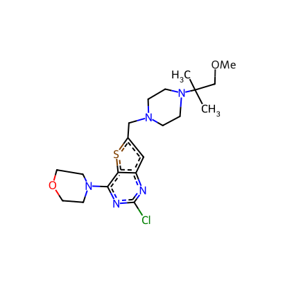 COCC(C)(C)N1CCN(Cc2cc3nc(Cl)nc(N4CCOCC4)c3s2)CC1